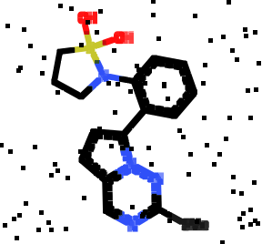 CSc1ncc2ccc(-c3ccccc3N3CCCS3(O)O)n2n1